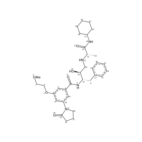 COCCOc1cc(C(=O)N[C@@H](Cc2ccccc2)[C@@H](O)CN[C@@H](C)C(=O)NC2CCCCC2)cc(N2CCCC2=O)c1